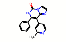 Cc1cc(-c2c(-c3ccccc3)[nH]c(=O)n3ccnc23)ccn1